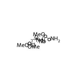 COc1ccc(-c2cccc(N)c2)cc1Cc1c(C[N]C(=O)CCC(C)Cc2ccc(OC)c(OC)c2Cl)nc2ccccn12